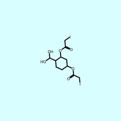 O=C(CI)OC1CCC(C(O)O)C(OC(=O)CI)C1